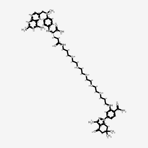 Cc1nn(-c2ccc(C(N)=O)c(NCCCOCCOCCOCCOCCOCCCNC(=O)CC[C@H](Nc3ccc(N(C)Cc4cnc5nc(N)nc(N)c5n4)cc3)C(=O)O)c2)c2c1C(=O)CC(C)(C)C2